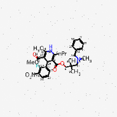 CCCC1=C(C(=O)OCC(C)(C)CN(C)Cc2ccccc2)C(c2cccc([N+](=O)[O-])c2F)C(C(=O)OC)=C(C)N1